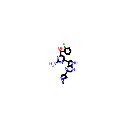 Cn1cc(-c2cnc3[nH]cc(-c4cc([C@@](C)(O)c5ccccc5F)nc(N)n4)c3n2)cn1